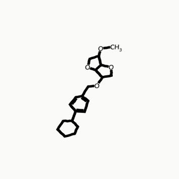 COC1COC2C(OCc3ccc(C4CCCCC4)cc3)COC12